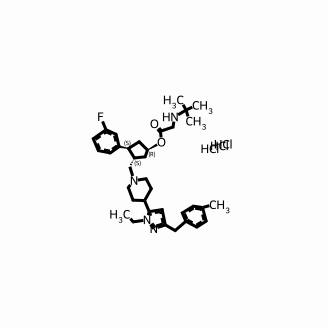 CCn1nc(Cc2ccc(C)cc2)cc1C1CCN(C[C@H]2C[C@H](OC(=O)CNC(C)(C)C)C[C@@H]2c2cccc(F)c2)CC1.Cl.Cl.Cl